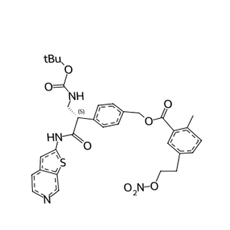 Cc1ccc(CCO[N+](=O)[O-])cc1C(=O)OCc1ccc([C@@H](CNC(=O)OC(C)(C)C)C(=O)Nc2cc3ccncc3s2)cc1